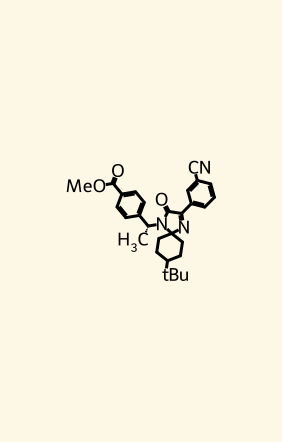 COC(=O)c1ccc([C@@H](C)N2C(=O)C(c3cccc(C#N)c3)=NC23CCC(C(C)(C)C)CC3)cc1